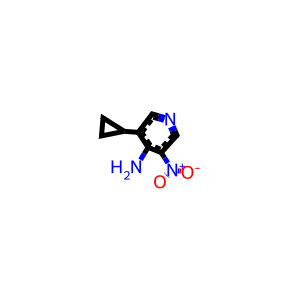 Nc1c(C2CC2)cncc1[N+](=O)[O-]